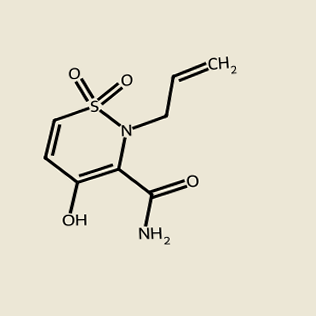 C=CCN1C(C(N)=O)=C(O)C=CS1(=O)=O